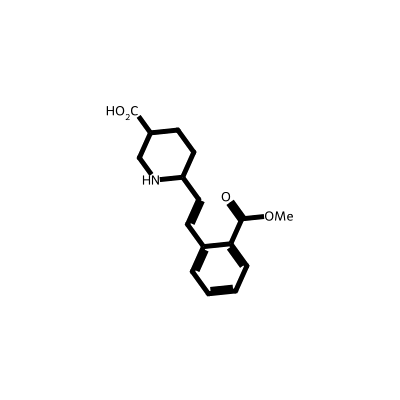 COC(=O)c1ccccc1/C=C/C1CCC(C(=O)O)CN1